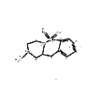 CN1CCN2C(Cc3ccccc3S2(=O)=O)C1